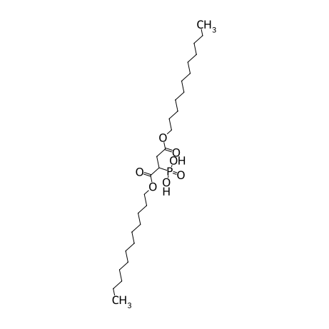 CCCCCCCCCCCCOC(=O)CC(C(=O)OCCCCCCCCCCCC)P(=O)(O)O